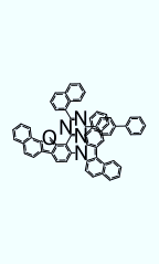 c1ccc(-c2ccc(-c3nc(-c4cccc5ccccc45)nc(-c4c(-n5c6cc7ccccc7cc6c6c7ccccc7ccc65)ccc5c4oc4c6ccccc6ccc54)n3)cc2)cc1